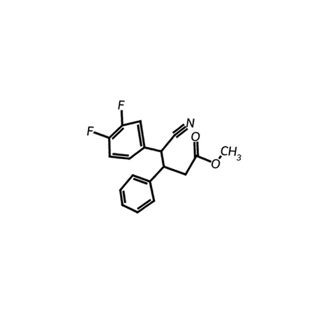 COC(=O)CC(c1ccccc1)C(C#N)c1ccc(F)c(F)c1